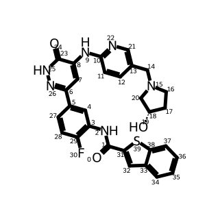 O=C(Nc1cc(-c2cc(Nc3ccc(CN4CC[C@H](O)C4)cn3)c(=O)[nH]n2)ccc1F)c1cc2ccccc2s1